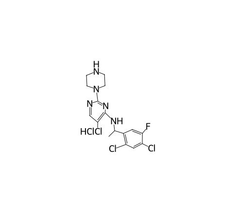 CC(Nc1nc(N2CCNCC2)ncc1Cl)c1cc(F)c(Cl)cc1Cl.Cl